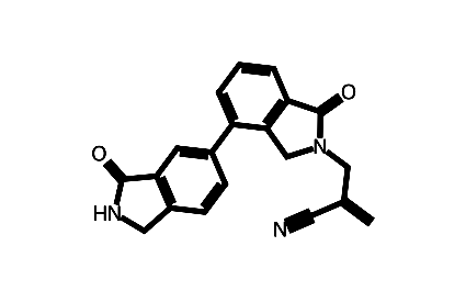 C=C(C#N)CN1Cc2c(cccc2-c2ccc3c(c2)C(=O)NC3)C1=O